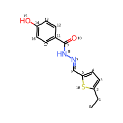 CCc1ccc(C=NNC(=O)c2ccc(O)cc2)s1